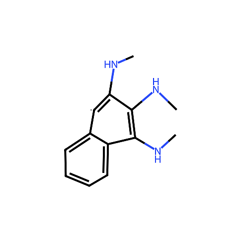 CNc1[c]c2ccccc2c(NC)c1NC